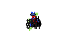 CC(C)[Si](C#Cc1c(F)ccc2cccc(-c3nc4c5c(nc(OC[C@@]67CCCN6C[C@H](F)C7)nc5c3F)N3C[C@H]5CC[C@@H]([C@H]3CCCC4)N5C(=O)OC(C)(C)C)c12)(C(C)C)C(C)C